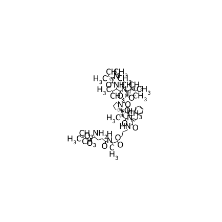 CC[C@H](C)[C@@H]([C@@H](CC(=O)N1CCC[C@H]1[C@H](OC)[C@@H](C)C(=O)N[C@@H](Cc1ccccc1)C(=O)NCCCOC(=O)C(C)NC(=O)CCC(N)C(=O)OC(C)(C)C)OC)N(C)C(=O)C(NC(=O)[C@H](C(C)C)N(C)C)C(C)C